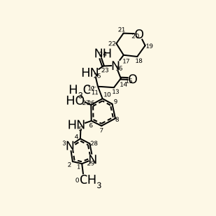 Cc1cnc(Nc2cccc([C@]3(C)CC(=O)N(C4CCOCC4)C(=N)N3)c2O)cn1